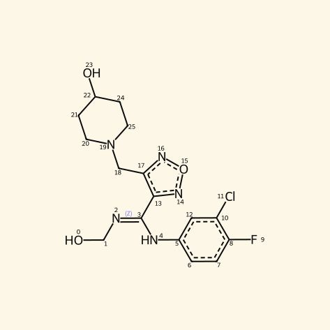 OC/N=C(\Nc1ccc(F)c(Cl)c1)c1nonc1CN1CCC(O)CC1